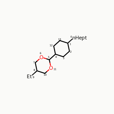 CCCCCCCC1CCC(C2OCC(CC)CO2)CC1